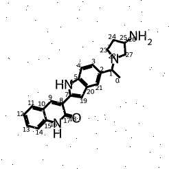 CC(c1ccc2[nH]c(-c3cc4ccccc4[nH]c3=O)cc2c1)N1CCC(N)C1